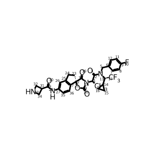 CC(C(=O)N(Cc1ccc(F)cc1)[C@H](C1CC1)C(F)(F)F)N1C(=O)O[C@]2(CCc3cc(NC(=O)C4CNC4)ccc32)C1=O